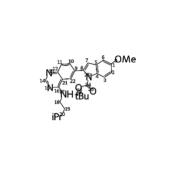 COc1ccc2c(c1)cc(-c1ccc3ncnc(NCCC(C)C)c3c1)n2C(=O)OC(C)(C)C